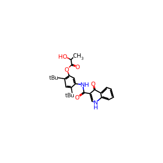 CC(O)C(=O)Oc1cc(NC(=O)c2c[nH]c3ccccc3c2=O)c(C(C)(C)C)cc1C(C)(C)C